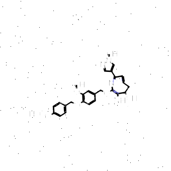 COc1ccc(COc2ccc(COC3=C(\N)[C@H](C)C/C=C/C(c4cnn(C)c4)=N\3)cc2OC)cc1